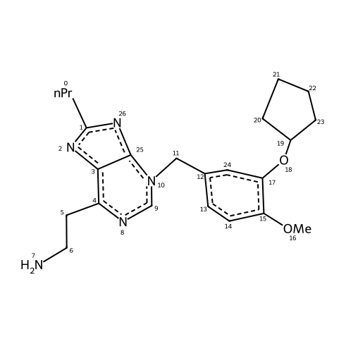 CCCc1nc2c(CCN)ncn(Cc3ccc(OC)c(OC4CCCC4)c3)c-2n1